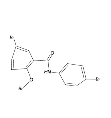 O=C(Nc1ccc(Br)cc1)c1cc(Br)ccc1OBr